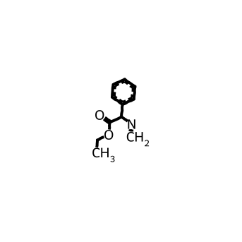 C=NC(C(=O)OCC)c1ccccc1